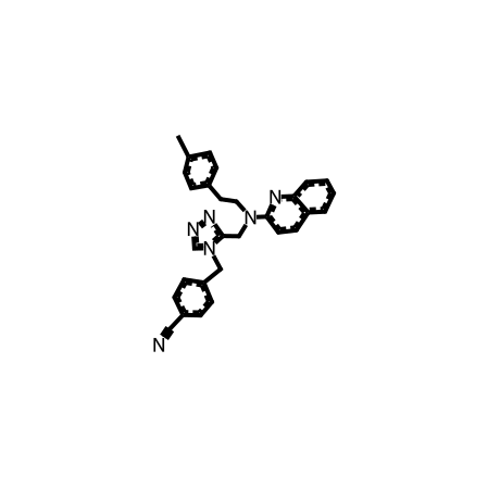 Cc1ccc(CCN(Cc2nncn2Cc2ccc(C#N)cc2)c2ccc3ccccc3n2)cc1